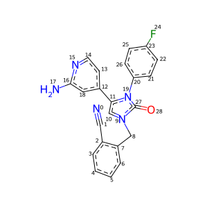 N#Cc1ccccc1Cn1cc(-c2ccnc(N)c2)n(-c2ccc(F)cc2)c1=O